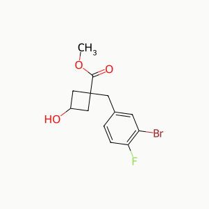 COC(=O)C1(Cc2ccc(F)c(Br)c2)CC(O)C1